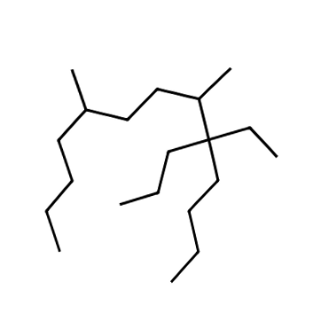 CCCCC(C)CCC(C)C(CC)(CCC)CCCC